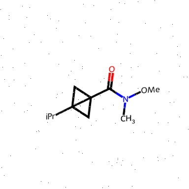 CON(C)C(=O)C12CC1(C(C)C)C2